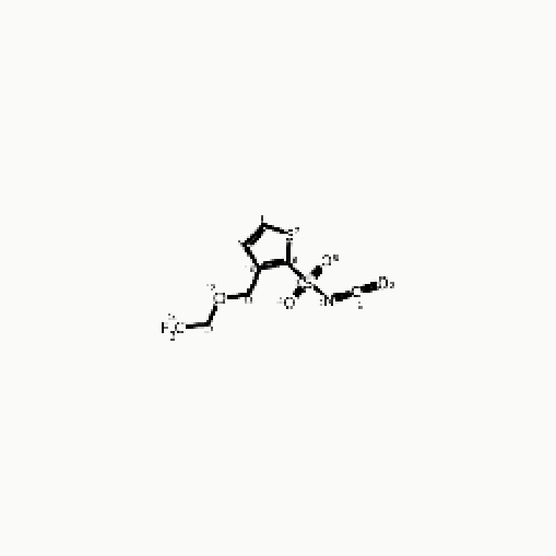 O=C=NS(=O)(=O)c1sccc1COCC(F)(F)F